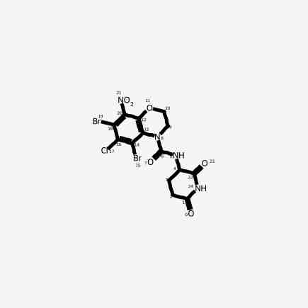 O=C1CCC(NC(=O)N2CCOc3c2c(Br)c(Cl)c(Br)c3[N+](=O)[O-])C(=O)N1